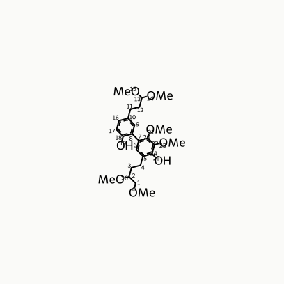 COCC(CCc1cc(-c2cc(CCC(OC)OC)ccc2O)c(OC)c(OC)c1O)OC